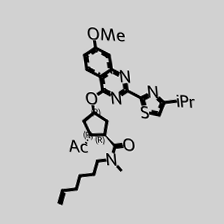 C=CCCCCN(C)C(=O)[C@@H]1C[C@H](Oc2nc(-c3nc(C(C)C)cs3)nc3cc(OC)ccc23)C[C@H]1C(C)=O